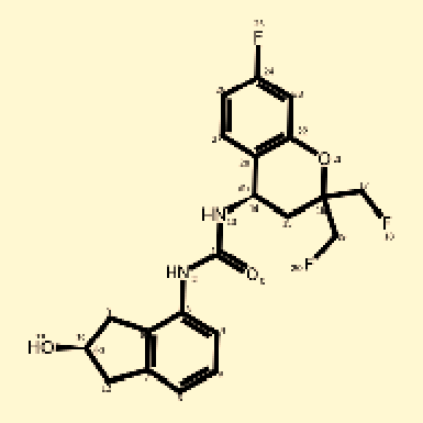 O=C(Nc1cccc2c1C[C@H](O)C2)N[C@@H]1CC(CF)(CF)Oc2cc(F)ccc21